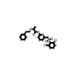 C=C(OCCc1ccccc1)C(=O)Oc1cccc(CS(=O)(=O)c2c(Cl)cccc2Cl)n1